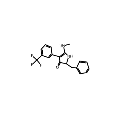 CNC1=C(c2cccc(C(F)(F)F)c2)C(=O)C(Cc2ccccc2)N1